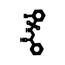 O=S(=O)(NCC(O)c1ccccc1)c1ccccc1Br